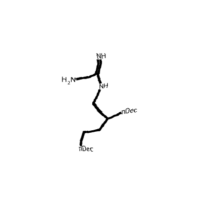 CCCCCCCCCCCCC(CCCCCCCCCC)CNC(=N)N